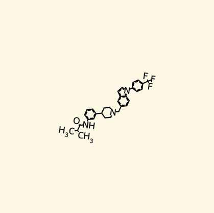 CC(C)C(=O)Nc1cccc(C2CCN(Cc3ccc4c(ccn4-c4ccc(C(F)(F)F)cc4)c3)CC2)c1